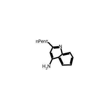 CCCCCc1cc(N)c2ccccc2n1